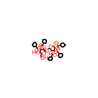 O=C(OC1C(S)OC(COC2OC(CO)C(O)C(OC(=O)c3ccccc3)C2OC(=O)c2ccccc2)C(OC(=O)c2ccccc2)C1OC(=O)c1ccccc1)c1ccccc1